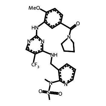 COc1ccc(C(=O)N2CCCC2)cc1Nc1ncc(C(F)(F)F)c(NCc2cccnc2N(C)S(C)(=O)=O)n1